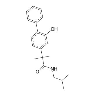 CC(C)CNC(=O)C(C)(C)c1ccc(-c2ccccc2)c(O)c1